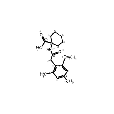 COc1cc(C)cc(C)c1CC(=O)NC1(C(=O)O)CCCCC1